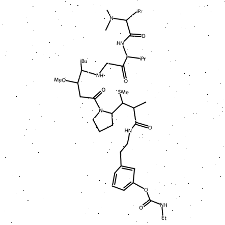 CCNC(=O)Oc1cccc(CCNC(=O)C(C)C(SC)C2CCCN2C(=O)CC(OC)C(NCC(=O)C(NC(=O)C(C(C)C)N(C)C)C(C)C)C(C)CC)c1